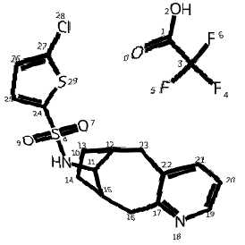 O=C(O)C(F)(F)F.O=S(=O)(NC1C2CCC1Cc1ncccc1C2)c1ccc(Cl)s1